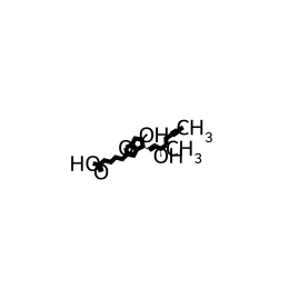 CC#CCC(C)[C@H](O)/C=C/[C@@H]1c2cc(CCCCC(=O)O)oc2C[C@H]1O